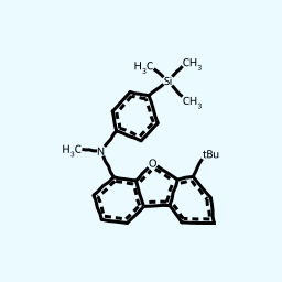 CN(c1ccc([Si](C)(C)C)cc1)c1cccc2c1oc1c(C(C)(C)C)cccc12